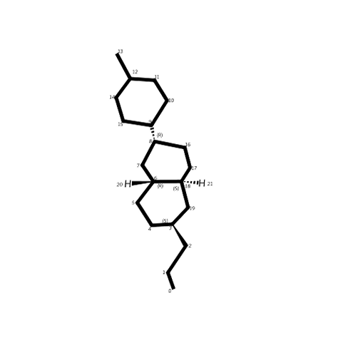 CCC[C@H]1CC[C@@H]2C[C@H](C3CCC(C)CC3)CC[C@H]2C1